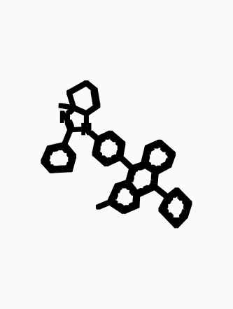 Cc1ccc2c(-c3ccccc3)c3ccccc3c(-c3ccc(N4C(c5ccccc5)=NC5(C)CCC=CC45)cc3)c2c1